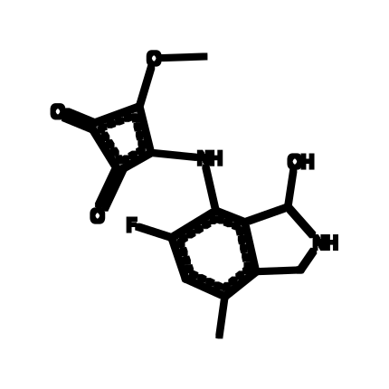 COc1c(Nc2c(F)cc(C)c3c2C(O)NC3)c(=O)c1=O